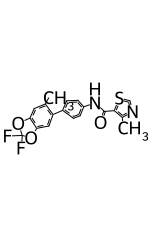 Cc1cc2c(cc1-c1ccc(NC(=O)c3scnc3C)cc1)OC(F)(F)O2